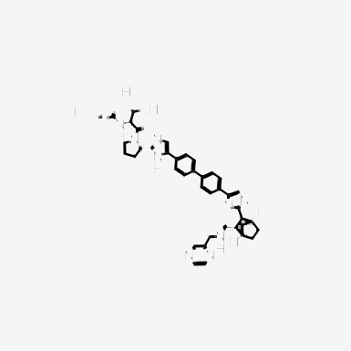 COC(=O)N[C@H](C(=O)N1CCC[C@H]1c1ncc(-c2ccc(-c3ccc(-c4cnc(C5[C@H]6CC[C@H](C6)[C@H]5C(=O)NCc5cnccn5)[nH]4)cc3)cc2)[nH]1)C(C)C